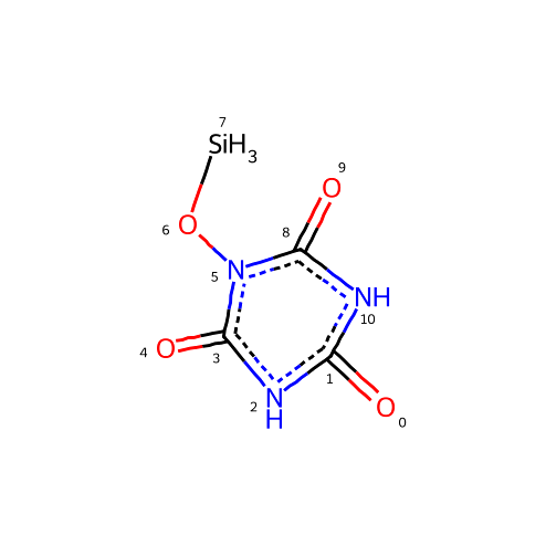 O=c1[nH]c(=O)n(O[SiH3])c(=O)[nH]1